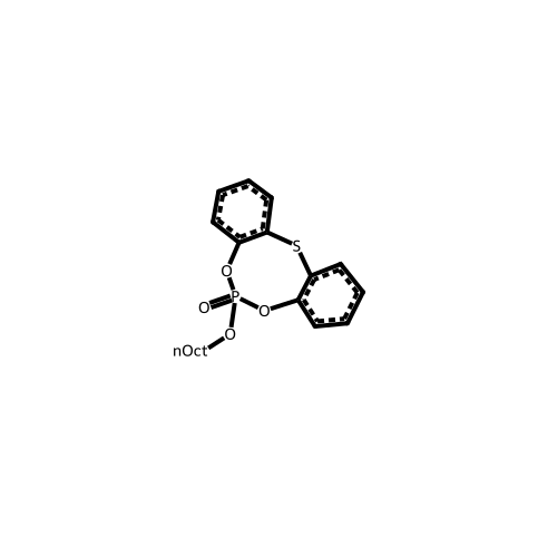 CCCCCCCCOP1(=O)Oc2ccccc2Sc2ccccc2O1